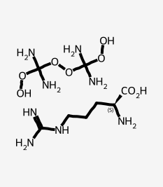 N=C(N)NCCC[C@H](N)C(=O)O.NC(N)(OO)OOC(N)(N)OO